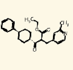 CCOC(=O)C(Cc1ccnc(C)c1)C(=O)[C@H]1CC[C@H](c2ccccc2)CC1